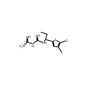 CCC(NC(=N)NC(=N)N)c1cc(C)c(Cl)s1